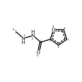 O=C(NNI)c1ccco1